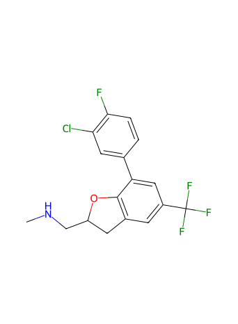 CNCC1Cc2cc(C(F)(F)F)cc(-c3ccc(F)c(Cl)c3)c2O1